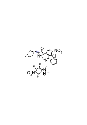 CC1N(C)c2c(F)c(F)c([N+](=O)[O-])c(F)c2N1C.CN1CCN(/C=C2\N=C3CN=C(c4ccccc4Cl)c4cc([N+](=O)[O-])ccc4N3C2=O)CC1